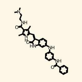 Cc1[nH]c(C=C2C(=O)Nc3cc(Nc4cccc(NC(=O)c5ccccc5)c4)ccc32)c(C)c1C(=O)NCCN(C)C